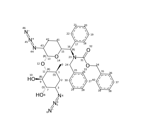 C[C@H]1CC(N=[N+]=[N-])[C@H](O)[C@@H](O)[C@@H]1O[C@H]1OC([C@@H](c2ccccc2)N(Cc2ccccc2)C(=O)OCc2ccccc2)CCC1N=[N+]=[N-]